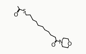 CC(=O)SCCCCCCCCCCC(=O)N1CCOCC1